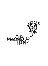 COC(=O)NC(C(=O)N1C2C[Si](C)(C)CC2C[C@H]1c1ncc(-c2ccc(-c3ccc4c(ccc5nc([C@@H]6CCCN6C(=O)[C@@H](NC(=O)OC)C(C)C)[nH]c54)c3)cc2)[nH]1)C(C)C